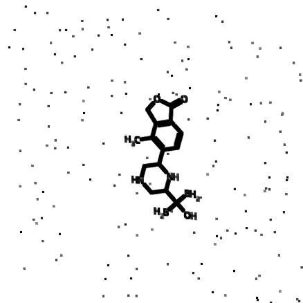 BC(B)(O)C1CNCC(c2ccc3c(c2C)COC3=O)N1